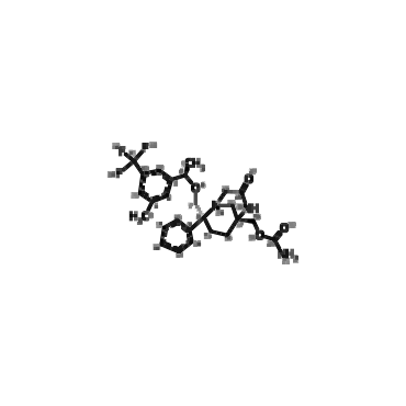 Cc1cc([C@@H](C)OC[C@@]2(c3ccccc3)CC[C@]3(COC(N)=O)CN2CC(=O)N3)cc(C(F)(F)F)c1